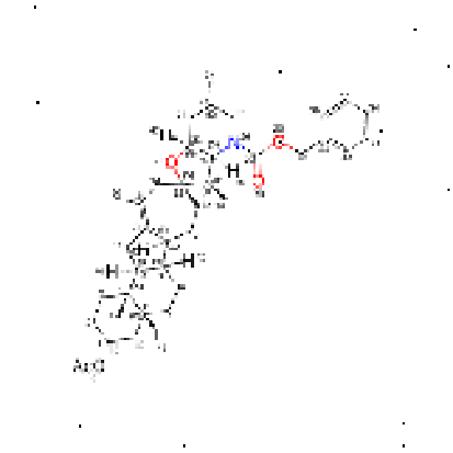 CC(=O)O[C@@H]1CC[C@@]2(C)[C@H](CC[C@H]3[C@@H]4CC[C@@]5(CC(C)=C4C[C@@H]32)O[C@@H]2C[C@H](C)CN(C(=O)OCc3ccccc3)[C@H]2[C@H]5C)C1